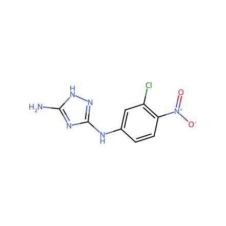 Nc1nc(Nc2ccc([N+](=O)[O-])c(Cl)c2)n[nH]1